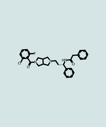 O=C(Cc1ccccc1)N[C@@H](CCN1CC2CN(C(=O)c3c(F)cccc3Cl)CC2C1)c1ccccc1